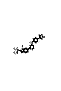 CP(C)c1cc2ccc(-c3nccc(Nc4ccc(-c5cn[nH]c5)cc4)n3)cc2[nH]1